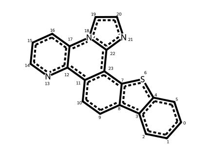 c1ccc2c(c1)sc1c2ccc2c3ncccc3n3ccnc3c21